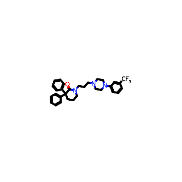 O=C1N(CCCN2CCN(c3cccc(C(F)(F)F)c3)CC2)CCCC1(c1ccccc1)c1ccccc1